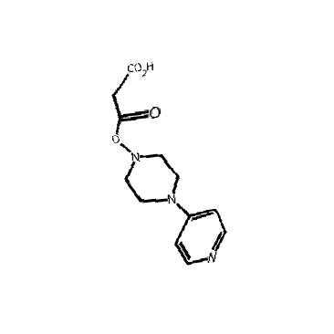 O=C(O)CC(=O)ON1CCN(c2ccncc2)CC1